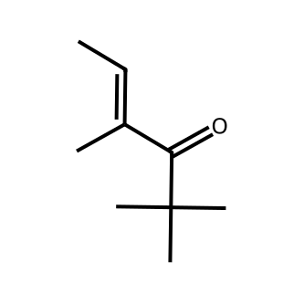 C/C=C(\C)C(=O)C(C)(C)C